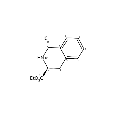 CCOC(=O)[C@@H]1Cc2ccccc2CN1.Cl